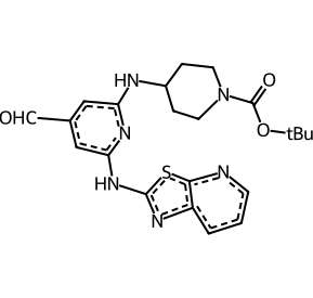 CC(C)(C)OC(=O)N1CCC(Nc2cc(C=O)cc(Nc3nc4cccnc4s3)n2)CC1